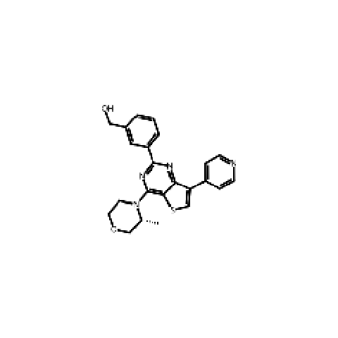 C[C@@H]1COCCN1c1nc(-c2cccc(CO)c2)nc2c(-c3ccncc3)csc12